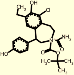 CCc1cc2c(c(Cl)c1O)CC[N+](C(N)=O)(C(=O)OC(C)(C)C)CC2c1ccc(O)cc1